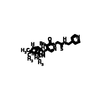 C[C@H]1[C@H]2C[C@H](C[C@H]1Nc1cnn(CC(=S)NCc3ccncc3)c(=O)c1Br)C2(C)C